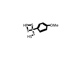 COc1ccc([P]2(SS)SPS2)cc1